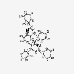 c1ccc(-c2cc(-c3ccccc3)nc(N3c4ccccc4-c4cc(-c5ccccc5)nc5cccc3c45)c2)cc1